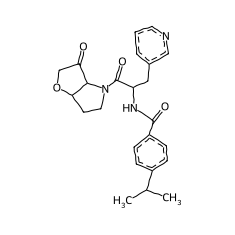 CC(C)c1ccc(C(=O)NC(Cc2cccnc2)C(=O)N2CCC3OCC(=O)C32)cc1